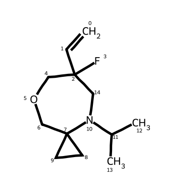 C=CC1(F)COCC2(CC2)N(C(C)C)C1